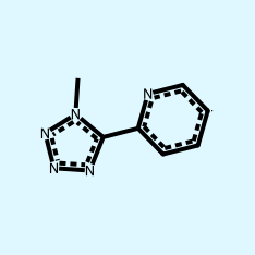 Cn1nnnc1-c1cc[c]cn1